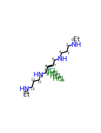 CCNCCCNC/C=C/CNCCCNCC.Cl.Cl.Cl.Cl